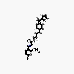 Cc1nc(F)ccc1/C=C/C(=O)NCCCCC1CCN(C(=O)c2ccco2)CC1